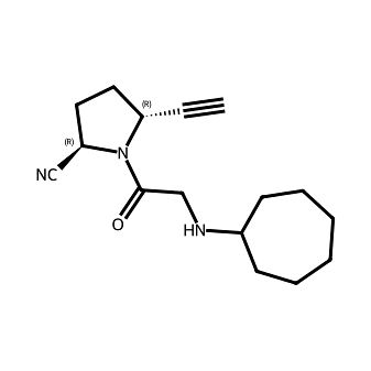 C#C[C@H]1CC[C@H](C#N)N1C(=O)CNC1CCCCCC1